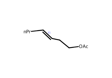 CCC/C=C/CCOC(C)=O